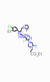 CCOC(=O)CCN1CCN(C2=NCNC(Nc3nc(-c4ccc(Cl)c(CC)c4)c(CN4CCC[C@H]4C)s3)=C2F)C[C@H]1CF